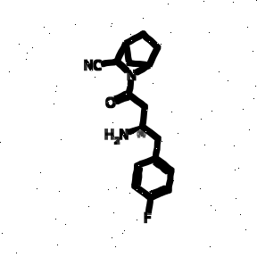 N#CC1C2CCC(C2)N1C(=O)C[C@H](N)Cc1ccc(F)cc1